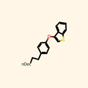 CCCCCCCCCCCCc1ccc(Oc2csc3ccccc23)cc1